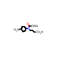 COC(=O)N(CCCC(=O)O)c1ccc([N+](=O)[O-])cc1